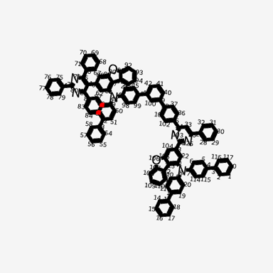 c1ccc(-c2ccc(N(c3ccc(-c4ccccc4)cc3)c3cc(-c4nc(-c5ccccc5)cc(-c5ccc(-c6cccc(-c7ccc(N(c8ccc(-c9ccccc9)cc8)c8cc(-c9c(-c%10ccccc%10)nc(-c%10ccccc%10)nc9-c9ccccc9)cc9oc%10ccccc%10c89)cc7)c6)cc5)n4)cc4oc5ccccc5c34)cc2)cc1